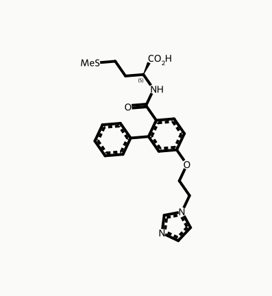 CSCC[C@H](NC(=O)c1ccc(OCCn2ccnc2)cc1-c1ccccc1)C(=O)O